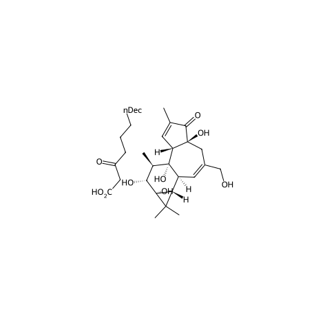 CC1=C[C@H]2[C@]3(O)[C@H](C)[C@@H](O)[C@@]4(O)[C@H]([C@@H]3C=C(CO)C[C@@]2(O)C1=O)C4(C)C.CCCCCCCCCCCCCC(=O)CC(=O)O